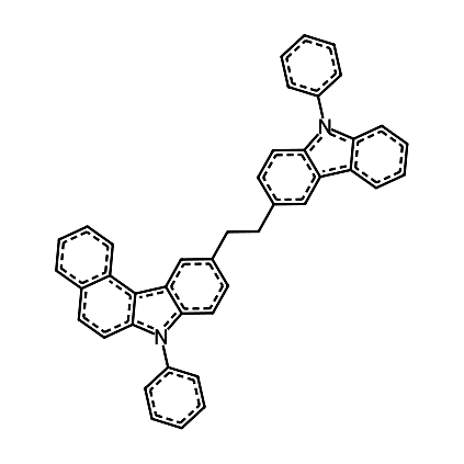 c1ccc(-n2c3ccccc3c3cc(CCc4ccc5c(c4)c4c6ccccc6ccc4n5-c4ccccc4)ccc32)cc1